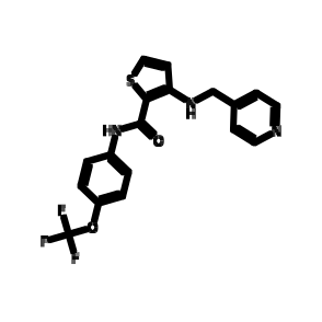 O=C(Nc1ccc(OC(F)(F)F)cc1)c1sccc1NCc1ccncc1